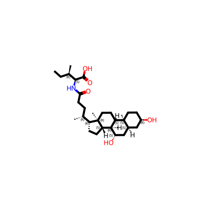 CC[C@@H](C)[C@H](NC(=O)CC[C@@H](C)[C@H]1CC[C@H]2[C@@H]3[C@@H](O)C[C@@H]4C[C@H](O)CC[C@]4(C)[C@H]3CC[C@]12C)C(=O)O